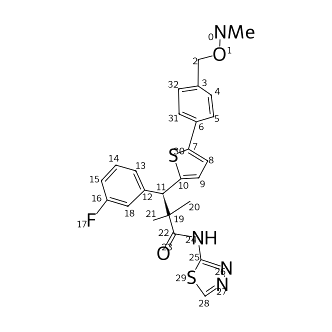 CNOCc1ccc(-c2ccc([C@H](c3cccc(F)c3)C(C)(C)C(=O)Nc3nncs3)s2)cc1